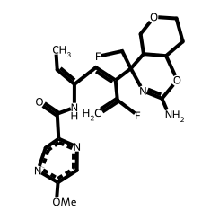 C=C(F)/C(=C\C(=C/C)NC(=O)c1cnc(OC)cn1)C1(CF)N=C(N)OC2CCOCC21